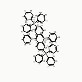 c1ccc(-c2c3ccc([Si](c4ccccc4)(c4ccccc4)c4ccccc4)cc3c(-c3ccccc3)c3ccc([Si](c4ccccc4)(c4ccccc4)c4ccccc4)cc23)cc1